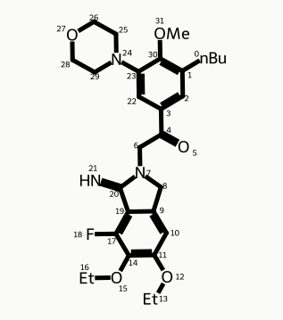 CCCCc1cc(C(=O)CN2Cc3cc(OCC)c(OCC)c(F)c3C2=N)cc(N2CCOCC2)c1OC